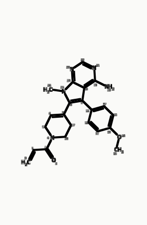 C=CC(=O)N1CC=C(c2c(-c3ccc(OC)cc3)c3c(N)ncnc3n2C)CC1